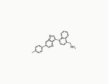 Cc1ccc(-c2cnc3c(-c4ccc(CN)c5ccccc45)cnn3c2)cc1